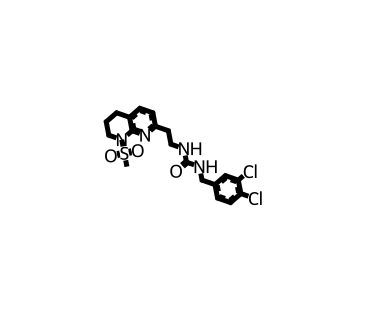 CS(=O)(=O)N1CCCc2ccc(CCNC(=O)NCc3ccc(Cl)c(Cl)c3)nc21